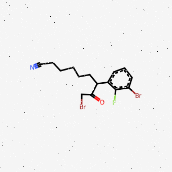 N#CCCCCCC(C(=O)CBr)c1cccc(Br)c1F